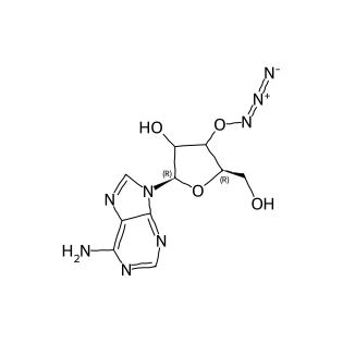 [N-]=[N+]=NOC1C(O)[C@H](n2cnc3c(N)ncnc32)O[C@@H]1CO